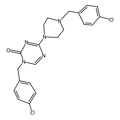 O=c1nc(N2CCN(Cc3ccc(Cl)cc3)CC2)ncn1Cc1ccc(Cl)cc1